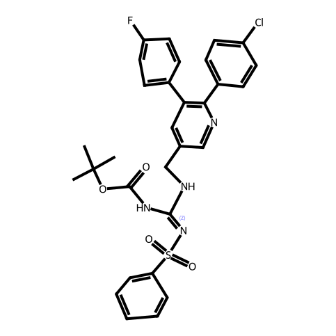 CC(C)(C)OC(=O)N/C(=N\S(=O)(=O)c1ccccc1)NCc1cnc(-c2ccc(Cl)cc2)c(-c2ccc(F)cc2)c1